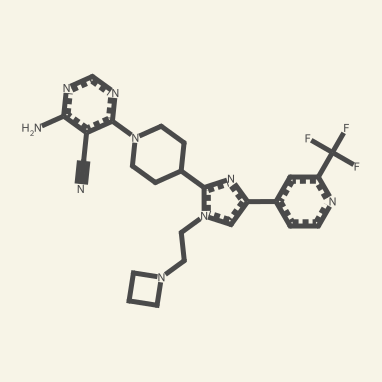 N#Cc1c(N)ncnc1N1CCC(c2nc(-c3ccnc(C(F)(F)F)c3)cn2CCN2CCC2)CC1